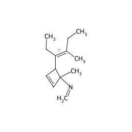 C=NC1(C)C=CC1/C(CC)=C(\C)CC